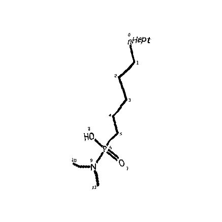 CCCCCCCCCCCCP(=O)(O)N(C)C